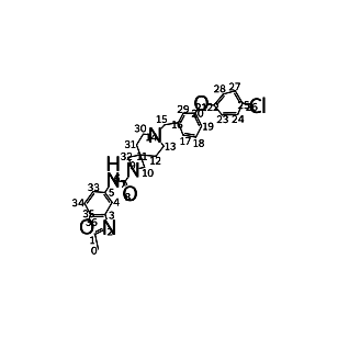 Cc1nc2cc(NC(=O)N3CC4(CCN(Cc5cccc(Oc6ccc(Cl)cc6)c5)CC4)C3)ccc2o1